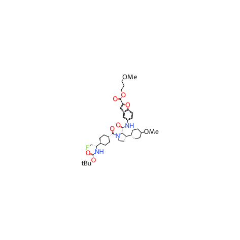 COCCCOC(=O)c1cc2cc(NC(=O)[C@@H]3[C@H]([C@H]4CC[C@H](OC)CC4)CCN3C(=O)[C@H]3CC[C@H]([C@@H](CF)NC(=O)OC(C)(C)C)CC3)ccc2o1